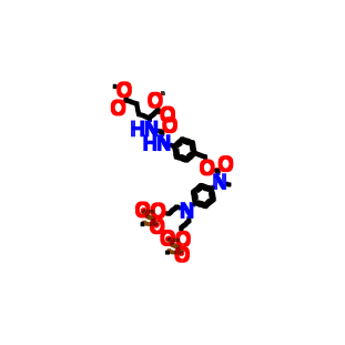 COC(=O)CCC(NC(=O)Nc1ccc(COC(=O)N(C)c2ccc(N(CCOS(C)(=O)=O)CCOS(C)(=O)=O)cc2)cc1)C(=O)OC